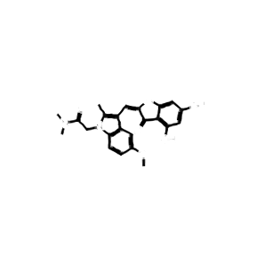 COc1ccc2c(c1)c(C=C1Oc3cc(O)cc(O)c3C1=O)c(C)n2CC(=O)N(C)C